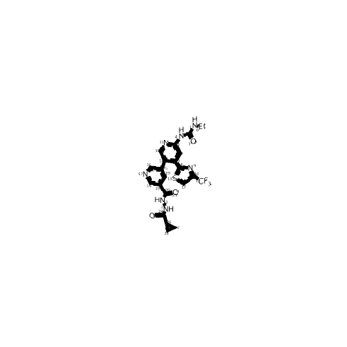 CCNC(=O)Nc1cc(-c2nc(C(F)(F)F)cs2)c(-c2cncc(C(=O)NNC(=O)C3CC3)c2)cn1